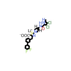 Cc1[nH]c(C(=O)N[C@@H]2[C@@H]3CN(c4nc(Cc5cccc(-c6ccc(F)c(F)c6)c5)c(C(=O)[O-])s4)C[C@@H]32)c(Cl)c1Cl.[Li+]